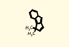 CC1(C)C=CC2=CC3C=CC=CC3=C21